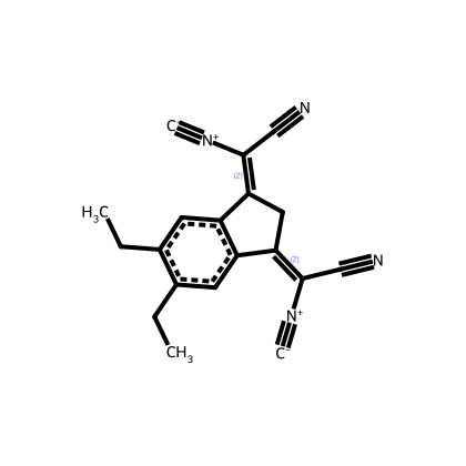 [C-]#[N+]/C(C#N)=C1/C/C(=C(\C#N)[N+]#[C-])c2cc(CC)c(CC)cc21